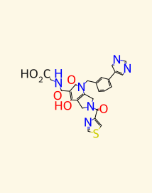 O=C(O)CNC(=O)c1c(O)c2c(n(Cc3cccc(-c4cncnc4)c3)c1=O)CN(C(=O)c1cscn1)C2